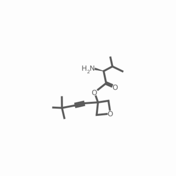 CC(C)[C@H](N)C(=O)OC1(C#CC(C)(C)C)COC1